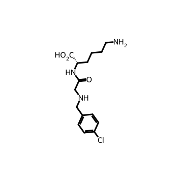 NCCCC[C@H](NC(=O)CNCc1ccc(Cl)cc1)C(=O)O